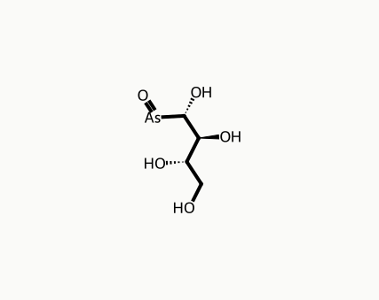 O=[As][C@H](O)[C@@H](O)[C@@H](O)CO